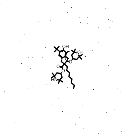 CCCCCCCCC(Cc1cc(C(C)(C)C)c(O)c(C)c1C)(C(=O)OC1CC(C)(C)NC(C)(C)C1)C(=O)OC1CC(C)(C)NC(C)(C)C1